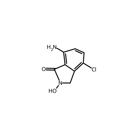 Nc1ccc(Cl)c2c1C(=O)N(O)C2